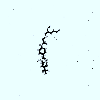 CCCCC(CC)COCC(=O)Nc1ccc(-c2nn3nc(C(C)(C)C)cc3[nH]2)cc1